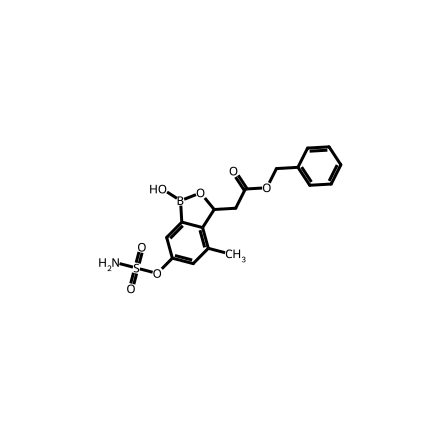 Cc1cc(OS(N)(=O)=O)cc2c1C(CC(=O)OCc1ccccc1)OB2O